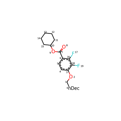 CCCCCCCCCCCOc1ccc(C(=O)O[C]2CCCCC2)c(F)c1F